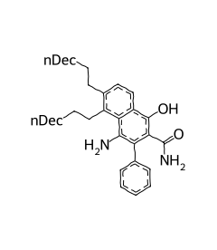 CCCCCCCCCCCCc1ccc2c(O)c(C(N)=O)c(-c3ccccc3)c(N)c2c1CCCCCCCCCCCC